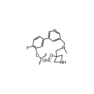 CN(Cc1cncc(-c2ccc(F)c(OC(F)F)c2)c1)CC1(OC=O)CNC1